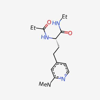 CCNC(=O)[C@H](CCc1ccnc(NC)c1)NC(=O)CC